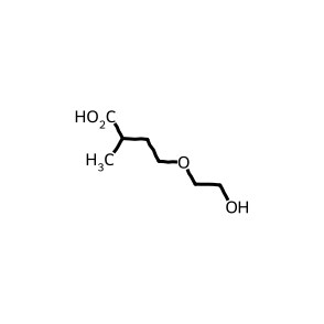 CC(CCOCCO)C(=O)O